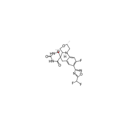 C[C@@H]1CN2c3cc(F)c(-c4noc(C(F)F)n4)cc3CC3(C(=O)NC(=O)NC3=O)[C@H]2[C@H](C)O1